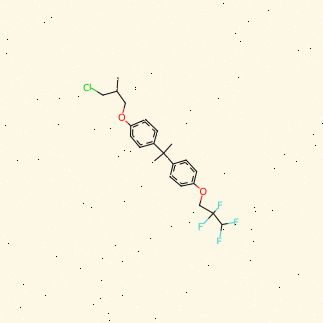 CC(CCl)COc1ccc(C(C)(C)c2ccc(OCC(F)(F)C(F)F)cc2)cc1